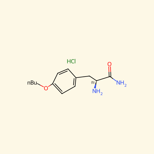 CCCCOc1ccc(C[C@H](N)C(N)=O)cc1.Cl